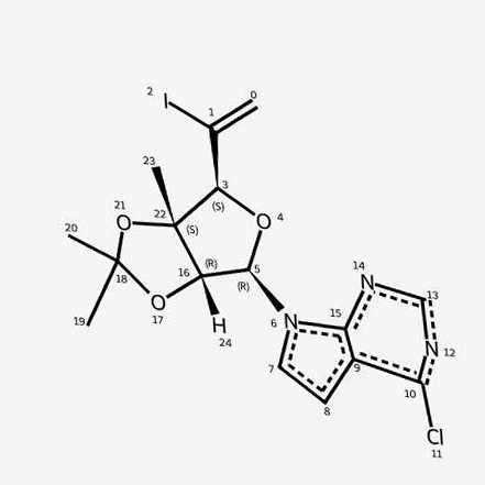 C=C(I)[C@H]1O[C@@H](n2ccc3c(Cl)ncnc32)[C@@H]2OC(C)(C)O[C@]12C